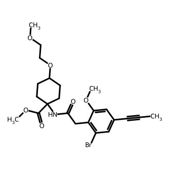 CC#Cc1cc(Br)c(CC(=O)NC2(C(=O)OC)CCC(OCCOC)CC2)c(OC)c1